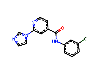 O=C(Nc1cccc(Cl)c1)c1ccnc(-n2ccnc2)c1